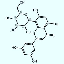 O=c1cc(-c2cc(O)cc(O)c2)oc2c([C@@H]3O[C@H](CO)[C@@H](O)[C@H](O)[C@@H]3O)c(O)cc(O)c12